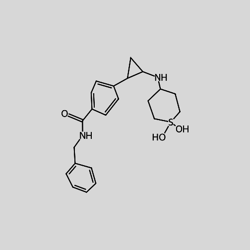 O=C(NCc1ccccc1)c1ccc(C2CC2NC2CCS(O)(O)CC2)cc1